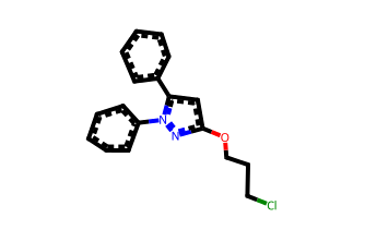 ClCCCOc1cc(-c2ccccc2)n(-c2ccccc2)n1